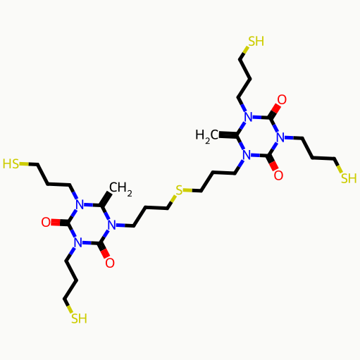 C=C1N(CCCS)C(=O)N(CCCS)C(=O)N1CCCSCCCN1C(=C)N(CCCS)C(=O)N(CCCS)C1=O